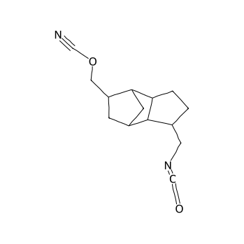 N#COCC1CC2CC1C1CCC(CN=C=O)C21